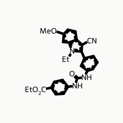 CCOC(=O)c1ccc(NC(=O)Nc2cccc(-c3c(C#N)c4ccc(OC)cc4n3CC)c2)cc1